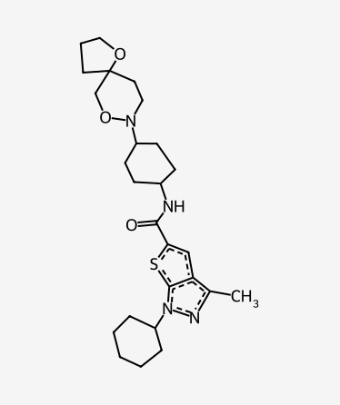 Cc1nn(C2CCCCC2)c2sc(C(=O)NC3CCC(N4CCC5(CCCO5)CO4)CC3)cc12